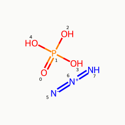 O=P(O)(O)O.[N-]=[N+]=N